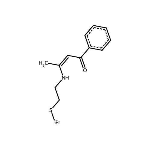 C/C(=C/C(=O)c1ccccc1)NCCSC(C)C